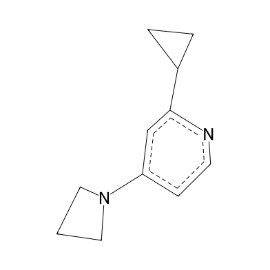 c1cc(N2CCC2)cc(C2CC2)n1